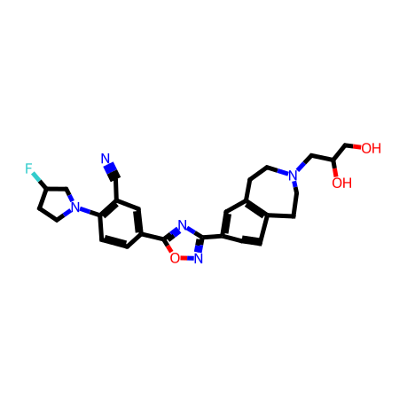 N#Cc1cc(-c2nc(-c3ccc4c(c3)CCN(CC(O)CO)CC4)no2)ccc1N1CCC(F)C1